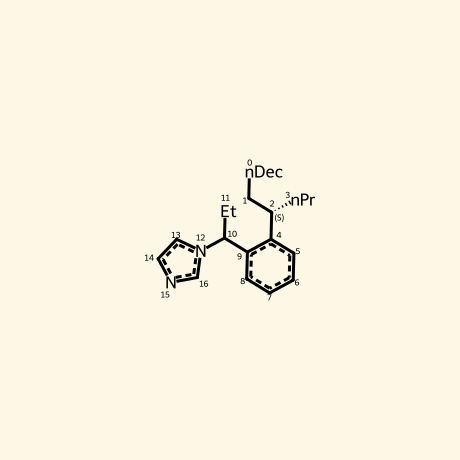 CCCCCCCCCCC[C@H](CCC)c1ccccc1C(CC)n1ccnc1